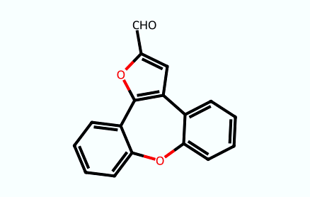 O=Cc1cc2c(o1)-c1ccccc1Oc1ccccc1-2